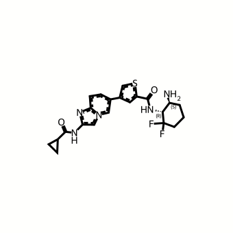 N[C@H]1CCCC(F)(F)[C@@H]1NC(=O)c1cc(-c2ccc3nc(NC(=O)C4CC4)cn3c2)cs1